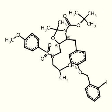 COc1ccc(S(=O)(=O)N(CC(C)C)C[C@H]2OC(C)(C)N(C(=O)OC(C)(C)C)[C@H]2Cc2ccc(OCc3ccccc3I)cc2)cc1